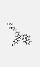 O=C1/C(=C\c2oc(-c3ccc(Cl)cc3)cc2CCCOC[C@H](O)CO)SC(=S)N1C1CC2CCC1C2